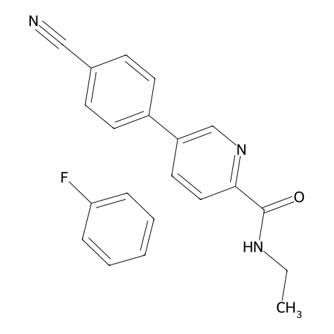 CCNC(=O)c1ccc(-c2ccc(C#N)cc2)cn1.Fc1ccccc1